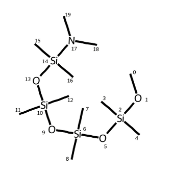 CO[Si](C)(C)O[Si](C)(C)O[Si](C)(C)O[Si](C)(C)N(C)C